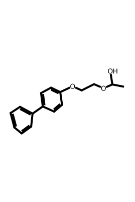 CC(O)OCCOc1ccc(-c2ccccc2)cc1